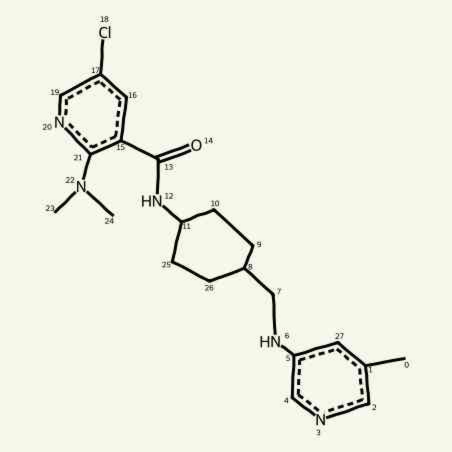 Cc1cncc(NCC2CCC(NC(=O)c3cc(Cl)cnc3N(C)C)CC2)c1